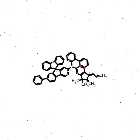 C=C/C=C1\C(=C)C(C)(C)c2cc(N(c3ccc4c(c3)C3(c5ccccc5-c5ccccc53)c3cc(-c5ccccc5)ccc3-4)c3ccccc3-c3ccccc3)ccc21